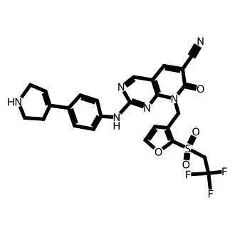 N#Cc1cc2cnc(Nc3ccc(C4=CCNCC4)cc3)nc2n(Cc2ccoc2S(=O)(=O)CC(F)(F)F)c1=O